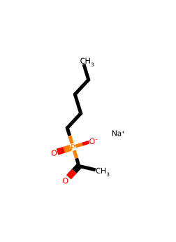 CCCCCP(=O)([O-])C(C)=O.[Na+]